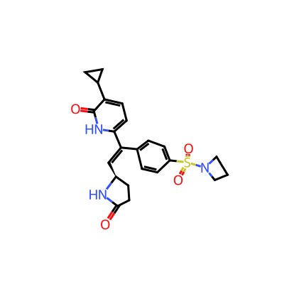 O=C1CC[C@H](/C=C(\c2ccc(S(=O)(=O)N3CCC3)cc2)c2ccc(C3CC3)c(=O)[nH]2)N1